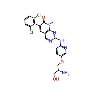 Cn1c(=O)c(-c2c(Cl)cccc2Cl)cc2cnc(Nc3ccc(OCC(N)CO)cn3)nc21